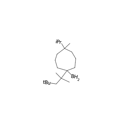 BC1(C(C)(C)CC(C)(C)C)CCCC(C)(C(C)C)CCC1